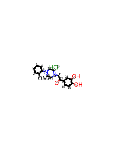 COc1ccccc1N1CCN(CC(=O)c2ccc(O)c(O)c2)CC1.Cl